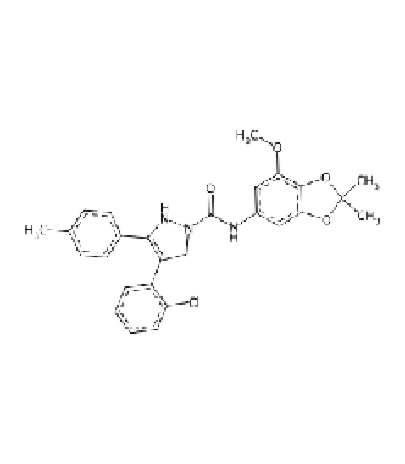 COc1cc(NC(=O)N2CC(c3ccccc3Cl)=C(c3ccc(C)cc3)N2)cc2c1OC(C)(C)O2